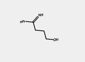 CCCC(=N)CCCO